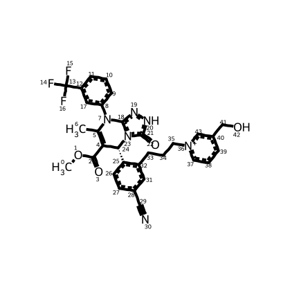 COC(=O)C1=C(C)N(c2cccc(C(F)(F)F)c2)c2n[nH]c(=O)n2[C@@H]1c1ccc(C#N)cc1CCC[n+]1cccc(CO)c1